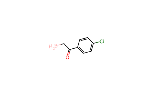 BCC(=O)c1ccc(Cl)cc1